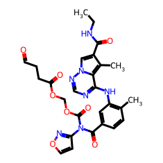 CCNC(=O)c1cn2ncnc(Nc3cc(C(=O)N(C(=O)OCOC(=O)CCC=O)c4ccon4)ccc3C)c2c1C